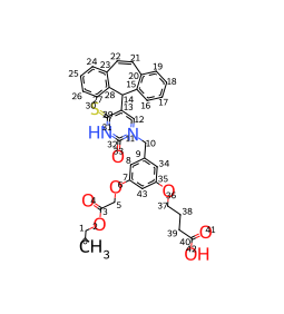 CCOC(=O)COc1cc(Cn2cc(C3c4ccccc4C=Cc4ccccc43)c(=S)[nH]c2=O)cc(OCCCC(=O)O)c1